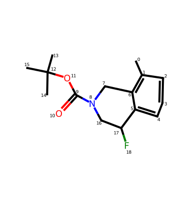 Cc1cccc2c1CN(C(=O)OC(C)(C)C)CC2F